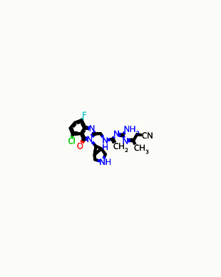 C=C(/N=C(N)\N=C(\C)CC#N)NCc1nc2c(F)ccc(Cl)c2c(=O)n1C1C2CNCC21